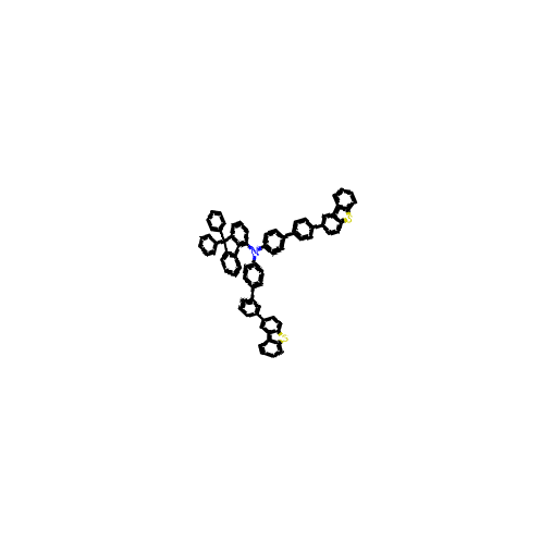 c1ccc(C2(c3ccccc3)c3ccccc3-c3c(N(c4ccc(-c5ccc(-c6ccc7sc8ccccc8c7c6)cc5)cc4)c4ccc(-c5cccc(-c6ccc7sc8ccccc8c7c6)c5)cc4)cccc32)cc1